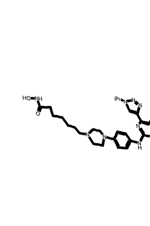 CC(C)n1cc(-c2nc(Nc3ccc(N4CCN(CCCCCCC(=O)NO)CC4)cc3)ncc2F)nn1